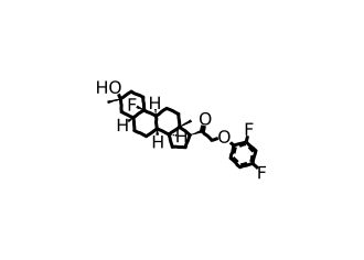 C[C@@]1(O)CC[C@@]2(F)[C@H](CC[C@H]3[C@@H]4CC[C@H](C(=O)COc5ccc(F)cc5F)[C@@]4(C)CC[C@@H]32)C1